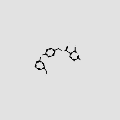 CCc1cccc(Oc2ccc(CNC(=O)c3ccc(C)nc3N)cc2)c1